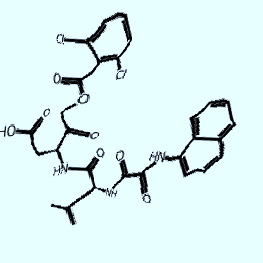 CC(C)[C@H](NC(=O)C(=O)Nc1cccc2ccccc12)C(=O)N[C@@H](CC(=O)O)C(=O)COC(=O)c1c(Cl)cccc1Cl